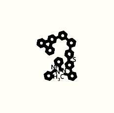 CC(/N=C(\N=C(/N)c1ccccc1)c1ccccc1)c1ccccc1-c1ccc2c(c1)sc1cc(-c3cccc(-c4cccc(-c5ccc6c7ccccc7c7ccccc7c6c5)c4)c3)ccc12